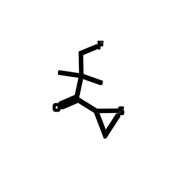 CC(C)(CF)C(=O)C1CS1